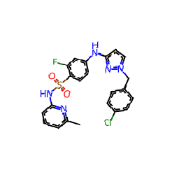 Cc1cccc(NS(=O)(=O)c2ccc(Nc3ccn(Cc4ccc(Cl)cc4)n3)cc2F)n1